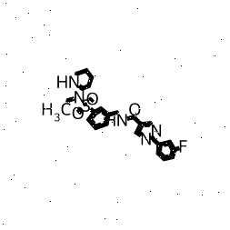 CCN(C1CCCCN1)S(=O)(=O)c1cccc(CNC(=O)c2cnc(-c3cccc(F)c3)nc2)c1